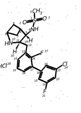 CS(=O)(=O)N[C@H]1C2CC(C2)N[C@H]1Cc1cccc(-c2cc(F)cc(Cl)c2)c1F.Cl